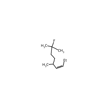 CC/C=C\C(C)CCC(C)(C)F